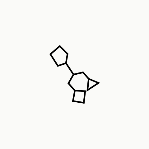 C1CC(C[C](CC2CC2)C2CCCC2)C1